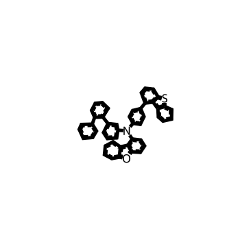 c1ccc(-c2ccccc2-c2cccc(N(c3ccc(-c4cccc5sc6ccccc6c45)cc3)c3cccc4oc5ccccc5c34)c2)cc1